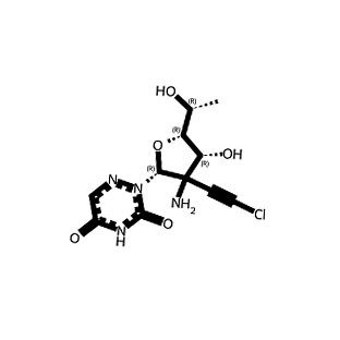 C[C@@H](O)[C@H]1O[C@@H](n2ncc(=O)[nH]c2=O)C(N)(C#CCl)[C@H]1O